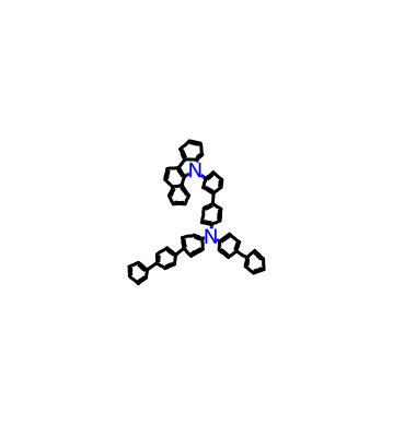 c1ccc(-c2ccc(-c3ccc(N(c4ccc(-c5ccccc5)cc4)c4ccc(-c5cccc(-n6c7ccccc7c7ccc8ccccc8c76)c5)cc4)cc3)cc2)cc1